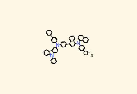 Cc1ccc(N(c2cccc3ccccc23)c2ccc(-c3ccc(N(c4ccc(-c5ccccc5)cc4)c4ccc5c(c4)c4ccccc4n5-c4ccccc4)cc3)c3ccccc23)cc1